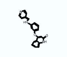 O=c1cc(Oc2cccc(NCc3ccncc3)c2)c2ccccc2[nH]1